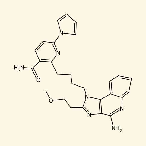 COCCc1nc2c(N)nc3ccccc3c2n1CCCCc1nc(-n2cccc2)ccc1C(N)=O